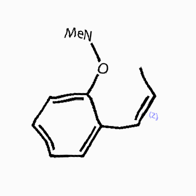 C/C=C\c1ccccc1ONC